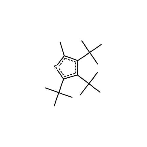 Cc1sc(C(C)(C)C)c(C(C)(C)C)c1C(C)(C)C